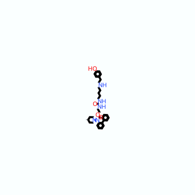 O=C(NCCCCCNCCc1ccc(O)cc1)NCCOC(=O)N(c1ccccc1-c1ccccc1)N1CC[CH]CC1